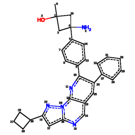 CC1(O)CC(N)(c2ccc(-c3nc4c(cnc5cc(C6CCC6)nn54)cc3-c3ccccc3)cc2)C1